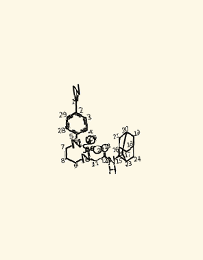 N#Cc1ccc(N2CCCN(CC(=O)NC3C4CC5CC(C4)CC3C5)S2(=O)=O)cc1